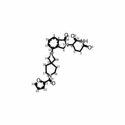 O=C1CCC(N2Cc3c(cccc3N3CC4(CCN(C(=O)c5ccco5)CC4)C3)C2=O)C(=O)N1